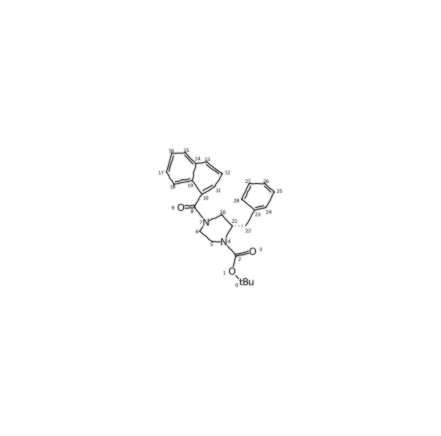 CC(C)(C)OC(=O)N1CCN(C(=O)c2cccc3ccccc23)C[C@@H]1Cc1ccccc1